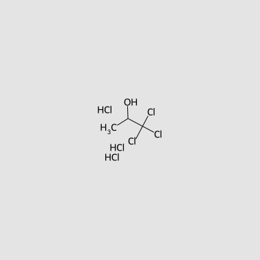 CC(O)C(Cl)(Cl)Cl.Cl.Cl.Cl